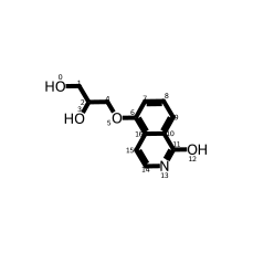 OCC(O)COc1cccc2c(O)nccc12